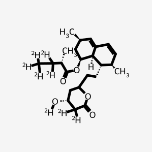 [2H]O[C@@H]1CC(CC[C@@H]2[C@@H]3C(=C[C@H](C)C[C@@H]3OC(=O)[C@@H](C)C([2H])([2H])C([2H])([2H])[2H])C=C[C@@H]2C)OC(=O)C1([2H])[2H]